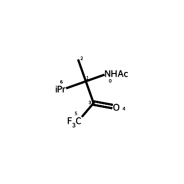 CC(=O)NC(C)(C(=O)C(F)(F)F)C(C)C